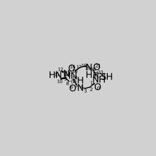 O=C1CCNC(=O)[C@H](Cc2c[nH]cn2)NC(=O)CCNC(=O)[C@H](CS)N1